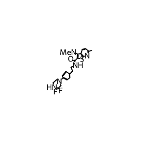 CNc1c(C(=O)NCCc2ccc(N3CCNC(F)(F)C3)cc2)sc2nc(C)ccc12